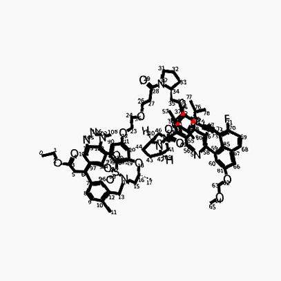 CCOC(=O)CC(c1ccc(C)c(CN2C[C@@H](C)Oc3cc(OCCOCCC(=O)N4CCC[C@H]4COc4nc(N5C[C@H]6CC[C@@H](C5)N6C(=O)OC(C)(C)C)c5cnc(-c6cc(OCOC)cc7ccc(F)c(C#C[Si](C(C)C)(C(C)C)C(C)C)c67)c(F)c5n4)ccc3S2(=O)=O)c1)c1cc(OC)c2c(c1)nnn2C